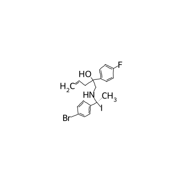 C=CCC(O)(CN[C@@](C)(I)c1ccc(Br)cc1)c1ccc(F)cc1